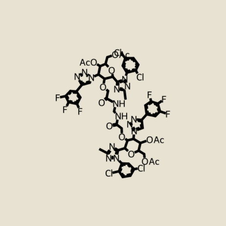 CC(=O)OCC1OC(c2nc(C)nn2-c2cc(Cl)ccc2Cl)C(OCC(=O)NCNC(=O)COC2C(c3nc(C)nn3-c3cc(Cl)ccc3Cl)OC(COC(C)=O)C(OC(C)=O)C2n2cc(-c3cc(F)c(F)c(F)c3)nn2)C(n2cc(-c3cc(F)c(F)c(F)c3)nn2)C1OC(C)=O